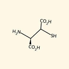 N[C@H](C(=O)O)C(S)C(=O)O